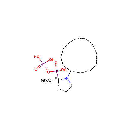 O=C(O)[C@@]1(P(=O)(O)OP(=O)(O)O)CCCN1C1CCCCCCCCCCC1